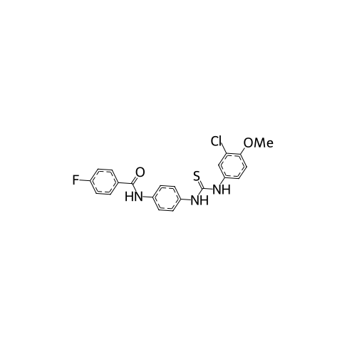 COc1ccc(NC(=S)Nc2ccc(NC(=O)c3ccc(F)cc3)cc2)cc1Cl